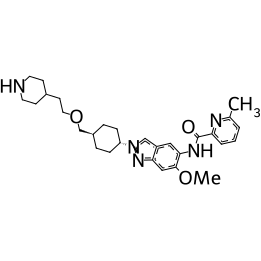 COc1cc2nn([C@H]3CC[C@H](COCCC4CCNCC4)CC3)cc2cc1NC(=O)c1cccc(C)n1